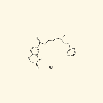 CN(CCCCC(=O)c1ccc2c(c1)NC(=O)CO2)CCc1ccccc1.Cl